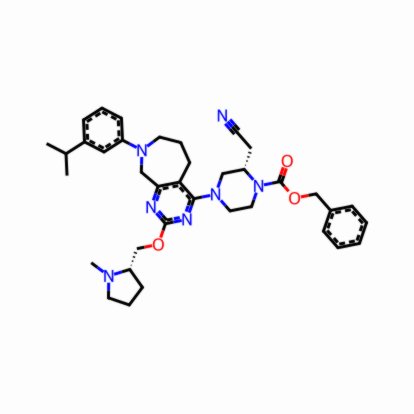 CC(C)c1cccc(N2CCCc3c(nc(OC[C@@H]4CCCN4C)nc3N3CCN(C(=O)OCc4ccccc4)[C@@H](CC#N)C3)C2)c1